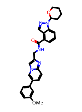 COc1cccc(-c2ccc3nc(CNC(=O)c4cccc5c4cnn5C4CCCCO4)cn3c2)c1